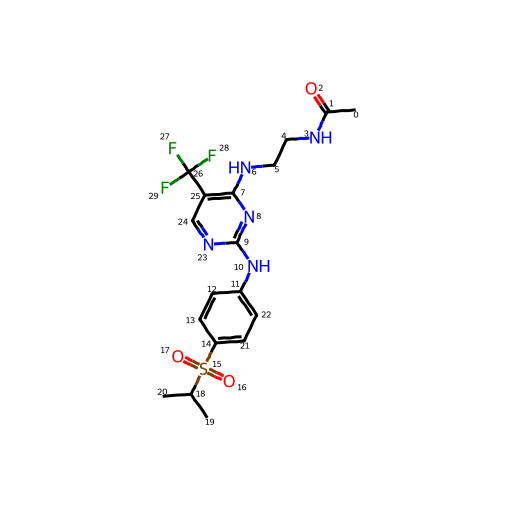 CC(=O)NCCNc1nc(Nc2ccc(S(=O)(=O)C(C)C)cc2)ncc1C(F)(F)F